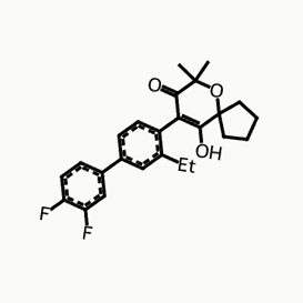 CCc1cc(-c2ccc(F)c(F)c2)ccc1C1=C(O)C2(CCCC2)OC(C)(C)C1=O